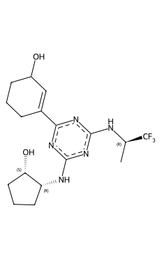 C[C@@H](Nc1nc(N[C@@H]2CCC[C@@H]2O)nc(C2=CC(O)CCC2)n1)C(F)(F)F